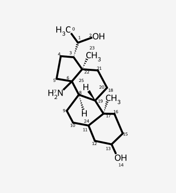 CC(O)[C@H]1CCC2(N)[C@@H]3CCC4CC(O)CC[C@]4(C)[C@H]3CC[C@]12C